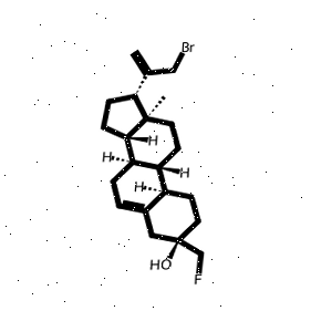 C=C(CBr)[C@H]1CC[C@H]2[C@@H]3CC=C4C[C@@](O)(CF)CC[C@@H]4[C@H]3CC[C@]12C